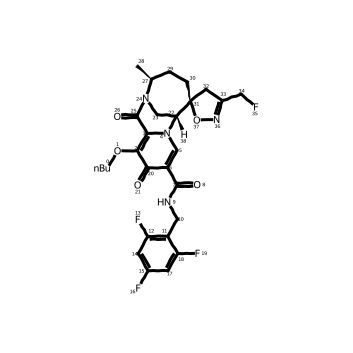 CCCCOc1c2n(cc(C(=O)NCc3c(F)cc(F)cc3F)c1=O)[C@@H]1CN(C2=O)[C@@H](C)CC[C@]12CC(CF)=NO2